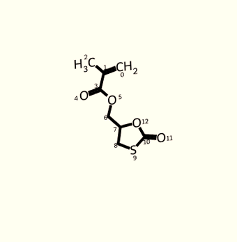 C=C(C)C(=O)OCC1CSC(=O)O1